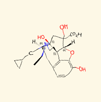 C[N@+]1(CC2CC2)CC[C@]23c4c5ccc(O)c4O[C@H]2C(O)(C(=O)O)C[C@@]3(O)[C@H]1C5